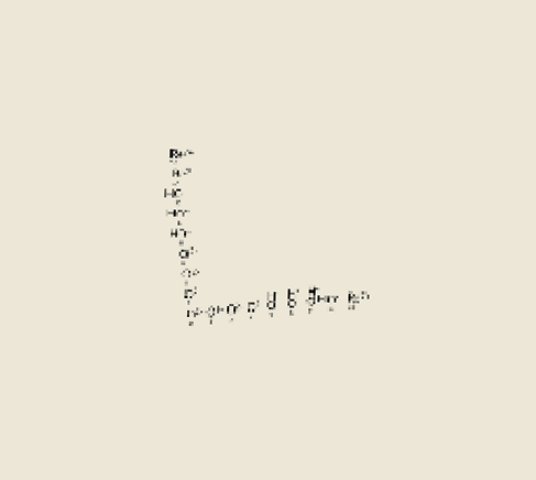 [O-2].[O-2].[O-2].[O-2].[O-2].[O-2].[O-2].[OH-].[OH-].[OH-].[OH-].[OH-].[OH-].[OH-].[Re+7].[Re+7].[Re+7]